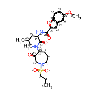 CCCS(=O)(=O)N1CCC[C@H](NC(=O)C(CC(C)C)NC(=O)c2cc3cc(OC)ccc3o2)C(=O)C1